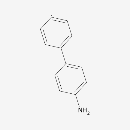 Nc1ccc(-c2cc[c]cc2)cc1